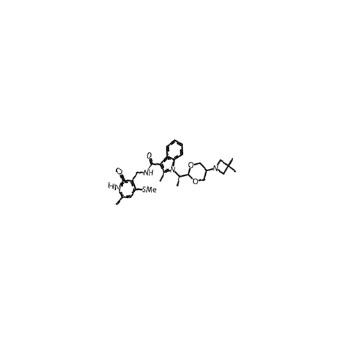 CSc1cc(C)[nH]c(=O)c1CNC(=O)c1c(C)n([C@H](C)C2OCC(N3CC(C)(C)C3)CO2)c2ccccc12